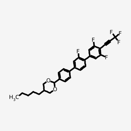 CCCCCC1COC(c2ccc(-c3ccc(-c4cc(F)c(C#CC(F)(F)F)c(F)c4)c(F)c3)cc2)OC1